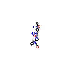 COCCCn1c(C2CCCN(C(=O)C[C@H](N)Cc3ccc(NC(=O)C4CCC4)cc3)C2)c(C)c2ccccc21